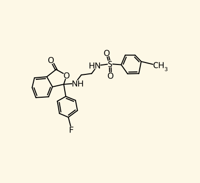 Cc1ccc(S(=O)(=O)NCCNC2(c3ccc(F)cc3)OC(=O)c3ccccc32)cc1